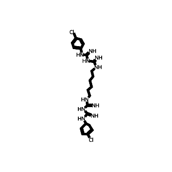 N=C(NCCCCCCNC(=N)NC(=N)NC1C=CC(Cl)=CC1)NC(=N)Nc1ccc(Cl)cc1